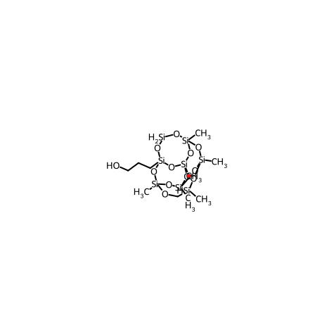 C[SiH]1CO[Si]2(C)O[Si]3(C)O[Si](C)(O1)O[Si]1(C)O[SiH2]O[Si](CCCO)(O2)O[Si](C)(O1)O3